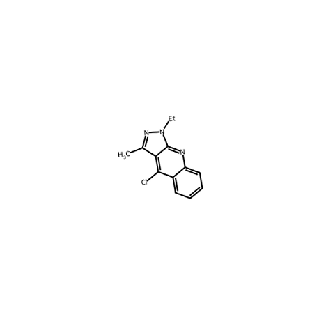 CCn1nc(C)c2c(Cl)c3ccccc3nc21